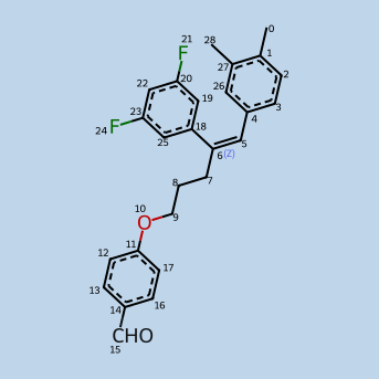 Cc1ccc(/C=C(/CCCOc2ccc(C=O)cc2)c2cc(F)cc(F)c2)cc1C